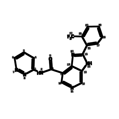 O=C(Nc1cccnn1)c1cncc2[nH]c(-c3ccccc3C(F)(F)F)nc12